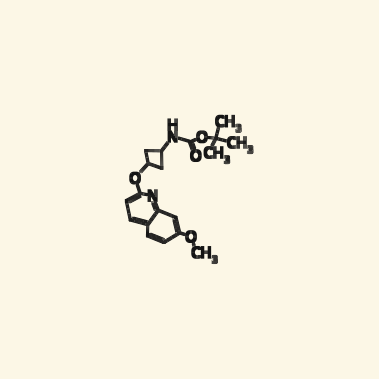 COc1ccc2ccc(OC3CC(NC(=O)OC(C)(C)C)C3)nc2c1